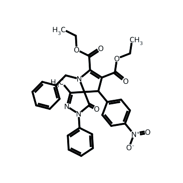 CCOC(=O)C1=C(C(=O)OCC)N(Cc2ccccc2)C2(C(=O)N(c3ccccc3)N=C2C)C1c1ccc([N+](=O)[O-])cc1